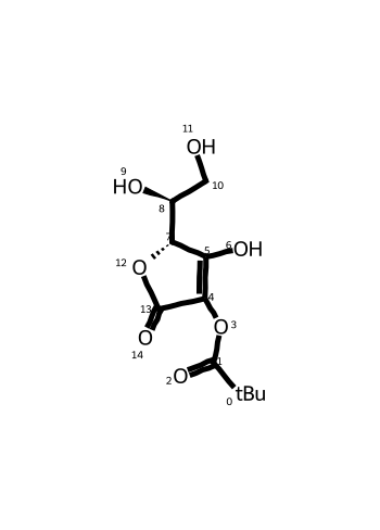 CC(C)(C)C(=O)OC1=C(O)[C@@H]([C@@H](O)CO)OC1=O